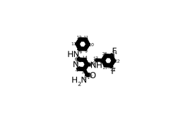 NC(=O)c1cnc(Nc2ccccc2)cc1NCc1cc(F)cc(F)c1